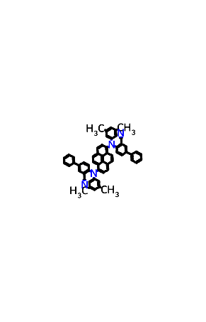 Cc1cc(C)cc(N(c2ccc(-c3ccccc3)cc2C#N)c2ccc3ccc4c(N(c5cc(C)cc(C)c5)c5ccc(-c6ccccc6)cc5C#N)ccc5ccc2c3c54)c1